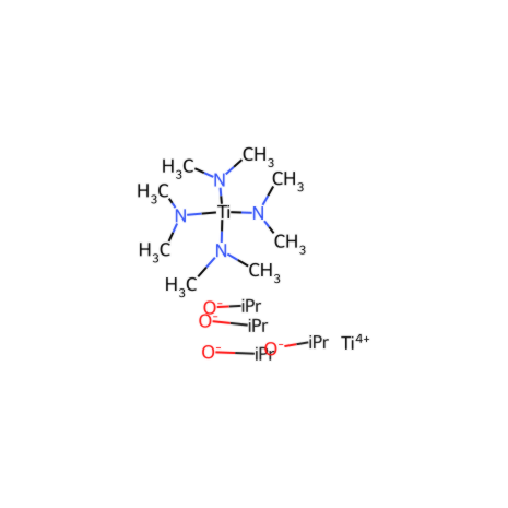 CC(C)[O-].CC(C)[O-].CC(C)[O-].CC(C)[O-].C[N](C)[Ti]([N](C)C)([N](C)C)[N](C)C.[Ti+4]